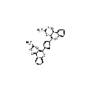 CC(=O)Oc1c(-c2ccc(-c3oc4ccccc4c(=O)c3OC(C)=O)cc2)oc2ccccc2c1=O